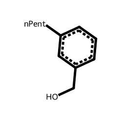 CCCCCc1cccc(CO)c1